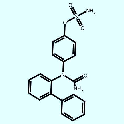 NC(=O)N(c1ccc(OS(N)(=O)=O)cc1)c1ccccc1-c1ccccc1